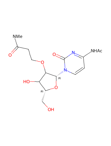 CNC(=O)CCOC1C(O)[C@@H](CO)O[C@H]1n1ccc(NC(C)=O)nc1=O